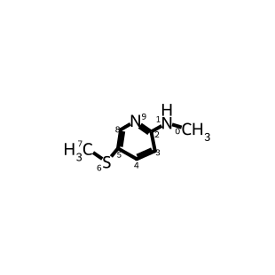 CNc1ccc(SC)cn1